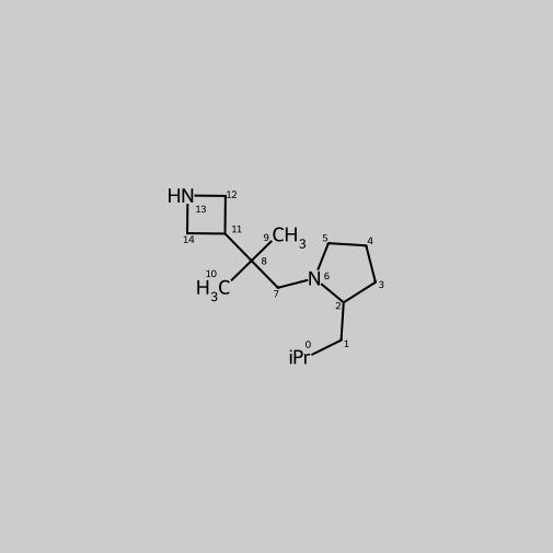 CC(C)CC1CCCN1CC(C)(C)C1CNC1